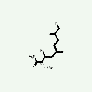 CC(=O)N[C@H](C(N)=O)C(CC(C)CCC(=O)CF)C(C)C